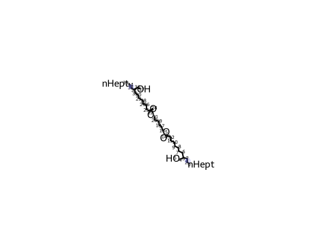 CCCCCCC/C=C/C(CO)CCCCCCCC(=O)OCCCCCCOC(=O)CCCCCCCC(/C=C/CCCCCCC)CO